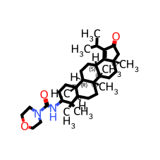 CC(C)C1=C2[C@H]3CC[C@@H]4[C@@]5(C)CCC(NC(=O)N6CCOCC6)C(C)(C)[C@@H]5CC[C@@]4(C)[C@]3(C)CC[C@@]2(C)CC1=O